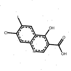 O=C(O)c1cnc2cc(Cl)c(I)cc2c1O